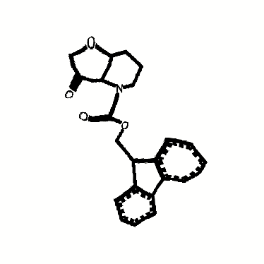 O=C1COC2CCCN(C(=O)OCC3c4ccccc4-c4ccccc43)C12